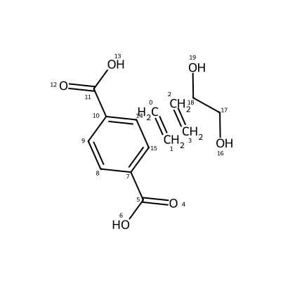 C=C.C=C.O=C(O)c1ccc(C(=O)O)cc1.OCCO